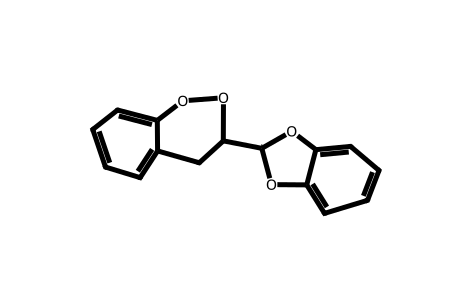 c1ccc2c(c1)CC([C]1Oc3ccccc3O1)OO2